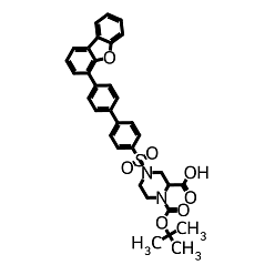 CC(C)(C)OC(=O)N1CCN(S(=O)(=O)c2ccc(-c3ccc(-c4cccc5c4oc4ccccc45)cc3)cc2)CC1C(=O)O